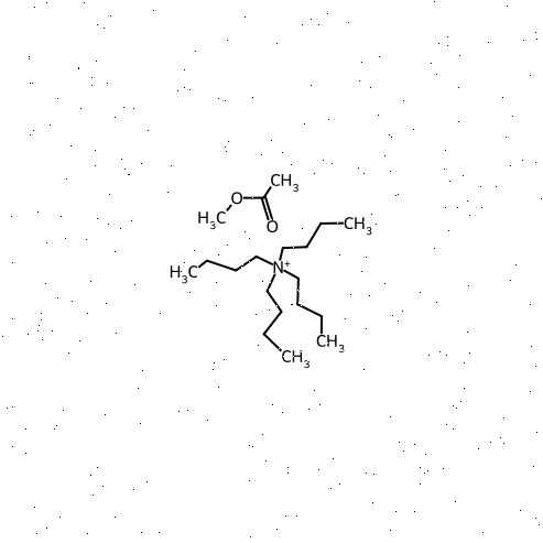 CCCC[N+](CCCC)(CCCC)CCCC.COC(C)=O